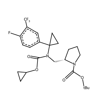 CC(C)(C)OC(=O)N1CCC[C@H]1CN(C(=O)OC1CC1)C1(c2ccc(F)c(C(F)(F)F)c2)CC1